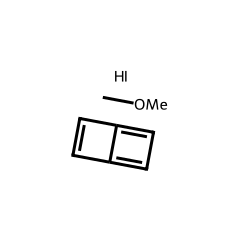 COC.I.c1cc2ccc1-2